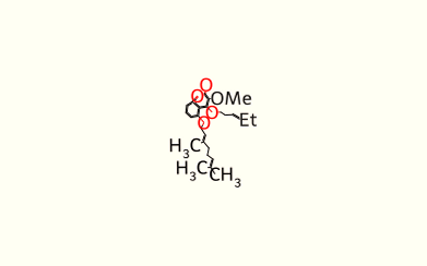 CC/C=C/CCOc1c(OC)c(=O)oc2cccc(OC/C=C(\C)CCC=C(C)C)c12